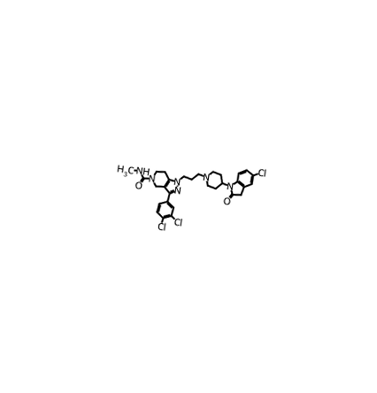 CNC(=O)N1CCc2c(c(-c3ccc(Cl)c(Cl)c3)nn2CCCN2CCC(N3C(=O)Cc4cc(Cl)ccc43)CC2)C1